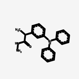 CC(C(=O)NN)c1ccc[c]([SnH]([c]2ccccc2)[c]2ccccc2)c1